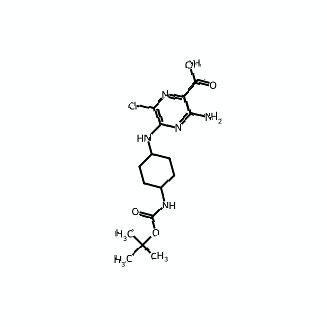 CC(C)(C)OC(=O)NC1CCC(Nc2nc(N)c(C(=O)O)nc2Cl)CC1